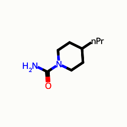 CCCC1CCN(C(N)=O)CC1